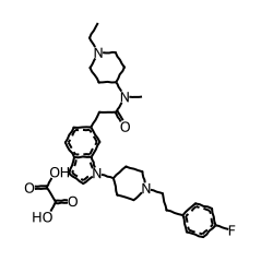 CCN1CCC(N(C)C(=O)Cc2ccc3ccn(C4CCN(CCc5ccc(F)cc5)CC4)c3c2)CC1.O=C(O)C(=O)O